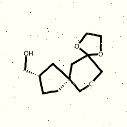 OC[C@H]1CC[C@]2(CCCC3(C2)OCCO3)C1